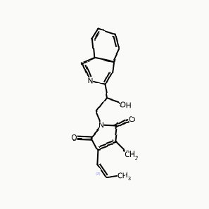 C/C=C\C1=C(C)C(=O)N(CC(O)C2=CC3C=CC=CC3C=N2)C1=O